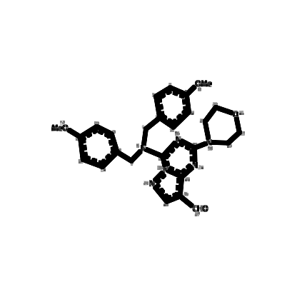 COc1ccc(CN(Cc2ccc(OC)cc2)c2nc(N3CCOCC3)nc3c(C=O)cnn23)cc1